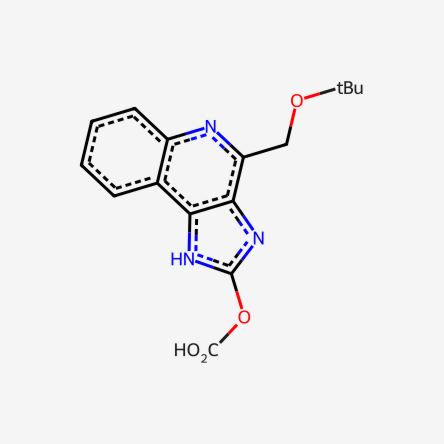 CC(C)(C)OCc1nc2ccccc2c2[nH]c(OC(=O)O)nc12